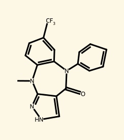 CN1c2ccc(C(F)(F)F)cc2N(c2ccccc2)C(=O)c2c[nH]nc21